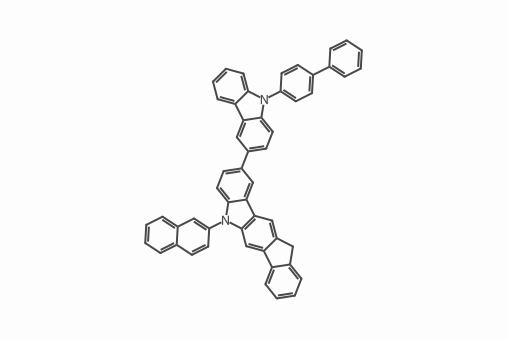 c1ccc(-c2ccc(-n3c4ccccc4c4cc(-c5ccc6c(c5)c5cc7c(cc5n6-c5ccc6ccccc6c5)-c5ccccc5C7)ccc43)cc2)cc1